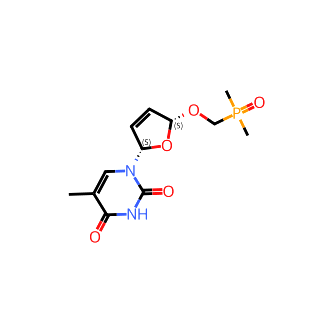 Cc1cn([C@@H]2C=C[C@H](OCP(C)(C)=O)O2)c(=O)[nH]c1=O